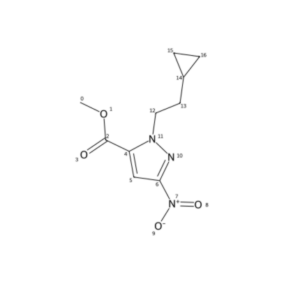 COC(=O)c1cc([N+](=O)[O-])nn1CCC1CC1